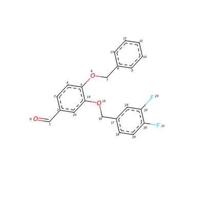 O=Cc1ccc(OCc2ccccc2)c(OCc2ccc(F)c(F)c2)c1